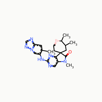 Cc1cc2ncnn2cc1Nc1ncc2c(n1)C1(CC=BC(C)C(C)C1)C(=O)N2C